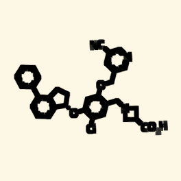 N#Cc1cncc(COc2cc(O[C@H]3CCc4c(-c5ccccc5)cccc43)c(Cl)cc2CN2CC(C(=O)O)C2)c1